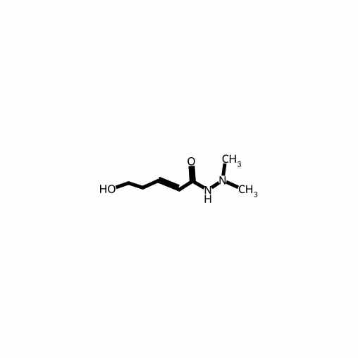 CN(C)NC(=O)C=CCCO